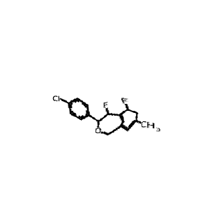 CC1=CC2=C(C(F)C1)C(F)C(c1ccc(Cl)cc1)OC2